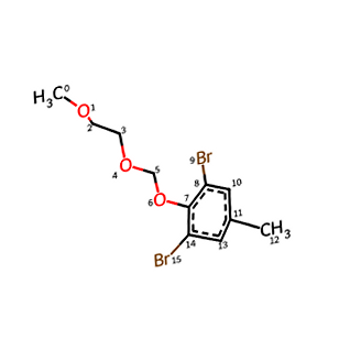 COCCOCOc1c(Br)cc(C)cc1Br